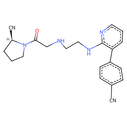 N#Cc1ccc(-c2cccnc2NCCNCC(=O)N2CCC[C@H]2C#N)cc1